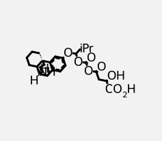 CC(C)C(OC(=O)OC(=O)CC(O)C(=O)O)Oc1ccc2c(c1)[C@]13CCCC[C@@H]1[C@H](C2)NCC3